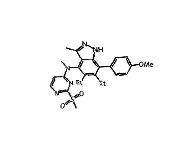 CCc1c(CC)c(N(C)c2ccnc(S(C)(=O)=O)n2)c2c(C)n[nH]c2c1-c1ccc(OC)cc1